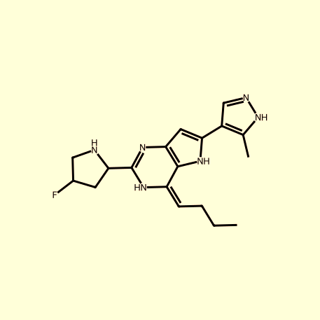 CCC/C=C1/NC(C2CC(F)CN2)=Nc2cc(-c3cn[nH]c3C)[nH]c21